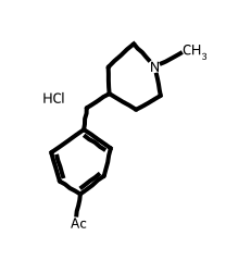 CC(=O)c1ccc(CC2CCN(C)CC2)cc1.Cl